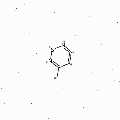 CC1=NSN=C=C1